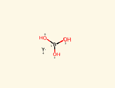 OB(O)O.[Y]